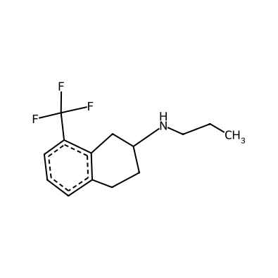 CCCNC1CCc2cccc(C(F)(F)F)c2C1